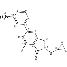 C=C1c2c(cc(-c3cccc(N)c3)nc2C)CN1CC1CC1